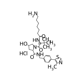 Cc1ncsc1-c1ccc(CNC(=O)C2CC(O)CN2C(=O)[C@@H](NC(=O)CCCCCCN)C(C)(C)C)cc1.Cl